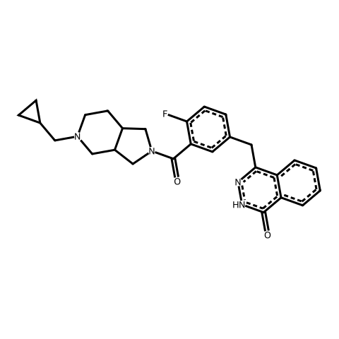 O=C(c1cc(Cc2n[nH]c(=O)c3ccccc23)ccc1F)N1CC2CCN(CC3CC3)CC2C1